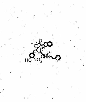 NC(=O)[C@H](NC(=O)[C@@H](Cc1ccc(O)c([N+](=O)[O-])c1)NC(=O)C1O[C@@H]1C(=O)NCCc1ccccn1)C1Cc2ccccc2C1